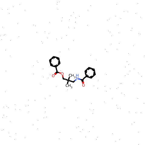 CC(C)(CNC(=O)c1ccccc1)COC(=O)c1ccccc1